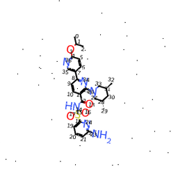 CC(C)Oc1ccc(-c2ccc(C(=O)NS(=O)(=O)c3cccc(N)n3)c(N3C[C@@H](C)C[C@H](C)C3)n2)cn1